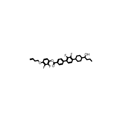 C=CCCOc1ccc(OC(=O)c2ccc(-c3ccc(C4CCC(C(O)CCC)CC4)c(F)c3F)cc2)c(F)c1F